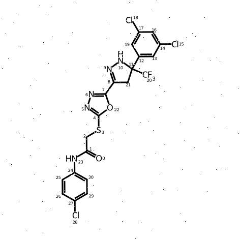 O=C(CSc1nnc(C2=NNC(c3cc(Cl)cc(Cl)c3)(C(F)(F)F)C2)o1)Nc1ccc(Cl)cc1